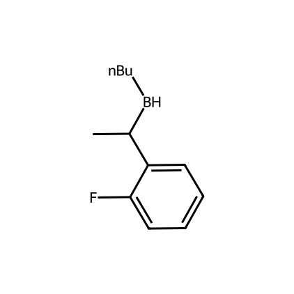 CCCCBC(C)c1ccccc1F